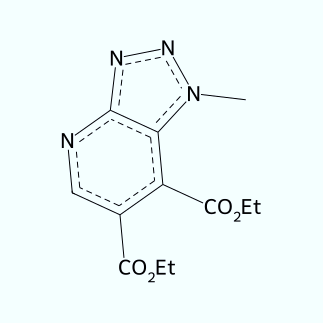 CCOC(=O)c1cnc2nnn(C)c2c1C(=O)OCC